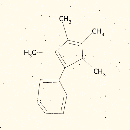 C[C]1C(C)=C(C)C(C)=C1c1ccccc1